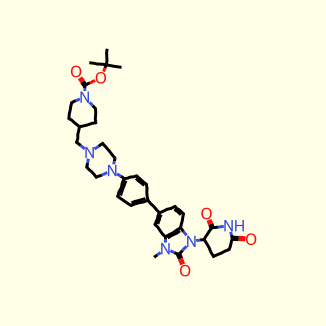 Cn1c(=O)n(C2CCC(=O)NC2=O)c2ccc(-c3ccc(N4CCN(CC5CCN(C(=O)OC(C)(C)C)CC5)CC4)cc3)cc21